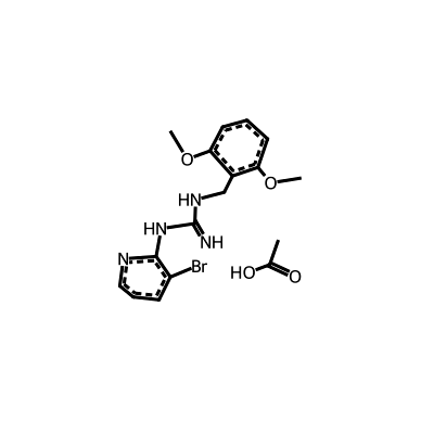 CC(=O)O.COc1cccc(OC)c1CNC(=N)Nc1ncccc1Br